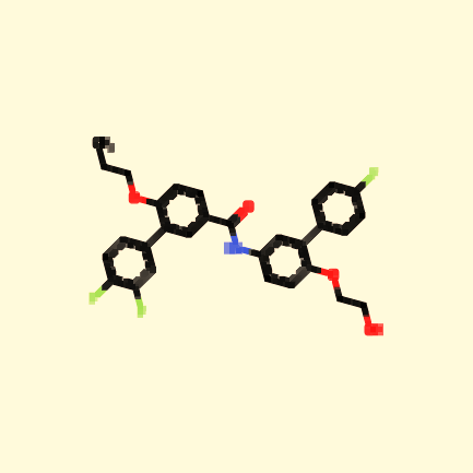 CCCOc1ccc(C(=O)Nc2ccc(OCCO)c(-c3ccc(F)cc3)c2)cc1-c1ccc(F)c(F)c1